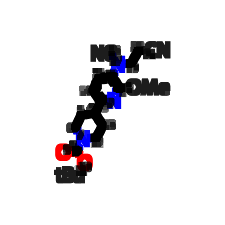 COc1nc(C2CCN(C(=O)OC(C)(C)C)CC2)ccc1N(C#N)CCC#N